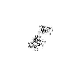 CCOc1ncccc1-n1nc(OCCCO[Si](C)(C)C(C)(C)C)c([N+](=O)[O-])c1C